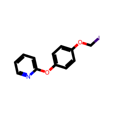 ICOc1ccc(Oc2ccccn2)cc1